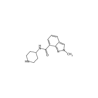 Cn1cc2cccc(C(=O)NC3CCNCC3)c2n1